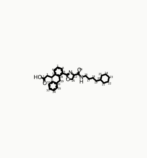 O=C(O)CCc1cccc(C2=NC(C(=O)NCCCCC3CCCCC3)CO2)c1Cc1ccccc1